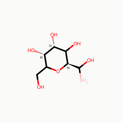 BC(O)[C@H]1OC(CO)[C@H](O)[C@H](O)C1O